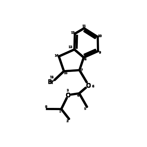 CC(C)OC(C)OC1c2ccccc2CC1Br